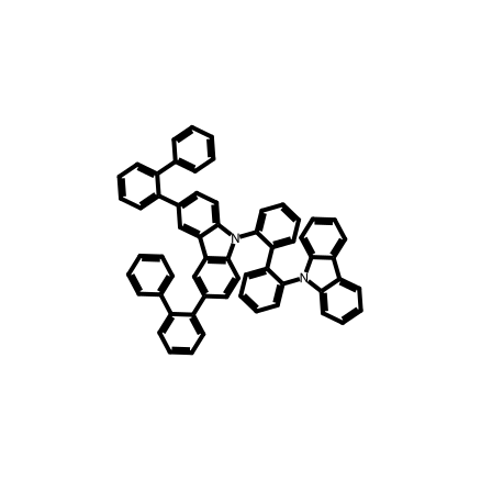 c1ccc(-c2ccccc2-c2ccc3c(c2)c2cc(-c4ccccc4-c4ccccc4)ccc2n3-c2ccccc2-c2ccccc2-n2c3ccccc3c3ccccc32)cc1